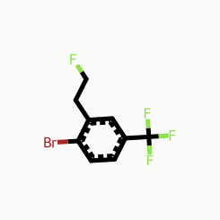 FCCc1cc(C(F)(F)F)ccc1Br